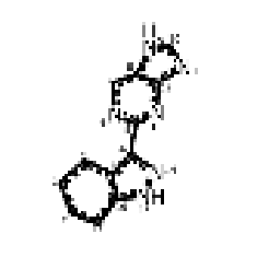 c1ccc2c(-c3ncc4[nH]cnc4n3)n[nH]c2c1